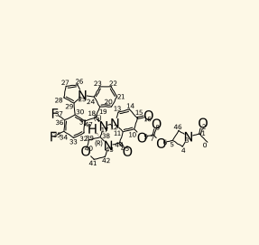 CC(=O)N1CC(OC(=O)Oc2c3n(ccc2=O)N([C@@H]2c4ccccc4-n4cccc4-c4c2ccc(F)c4F)[C@@H]2COCCN2C3=O)C1